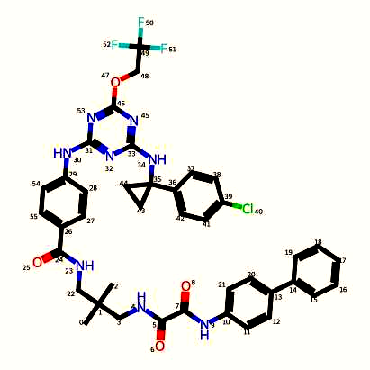 CC(C)(CNC(=O)C(=O)Nc1ccc(-c2ccccc2)cc1)CNC(=O)c1ccc(Nc2nc(NC3(c4ccc(Cl)cc4)CC3)nc(OCC(F)(F)F)n2)cc1